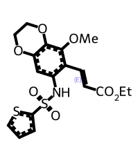 CCOC(=O)/C=C/c1c(NS(=O)(=O)c2cccs2)cc2c(c1OC)OCCO2